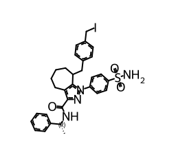 C[C@@H](NC(=O)c1nn(-c2ccc(S(N)(=O)=O)cc2)c2c1CCCCC2Cc1ccc(CI)cc1)c1ccccc1